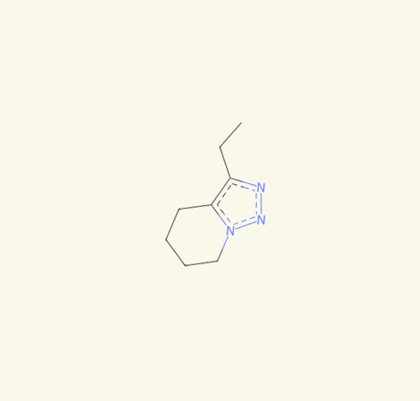 CCc1nnn2c1CCCC2